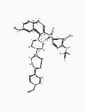 CCN1CCC(N2CCN(C3CCN(c4c(S(=O)(=O)c5ccc(OC(C)(C)C)c(F)c5)cnc5ccc(OC)cc45)CC3)CC2)CC1